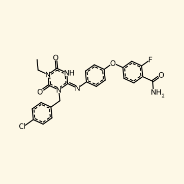 CCn1c(=O)[nH]/c(=N\c2ccc(Oc3ccc(C(N)=O)c(F)c3)cc2)n(Cc2ccc(Cl)cc2)c1=O